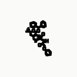 CN(C)C=CC1=C(C(=O)OC(c2ccccc2)c2ccccc2)N2C(=O)C(NC(=O)COc3ccccc3)C2SC1